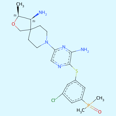 C[C@@H]1OCC2(CCN(c3cnc(Sc4cc(Cl)cc(P(C)(C)=O)c4)c(N)n3)CC2)[C@@H]1N